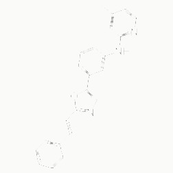 Cc1ccnc(Nc2cccc(-c3cnc(/C=C/c4ccccc4)o3)c2)c1